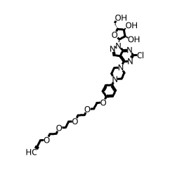 C#CCOCCOCCOCCOCCOc1ccc(N2CCN(c3nc(Cl)nc4c3cnn4[C@@H]3O[C@H](CO)[C@@H](O)[C@H]3O)CC2)cc1